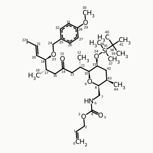 C=CCOC(=O)NC[C@H]1O[C@@H]([C@@H](C)CC(=O)C[C@H](C)[C@@H](/C=C/I)OCc2ccc(OC)cc2)[C@@H](O[Si](C)(C)C(C)(C)C)C[C@H]1C